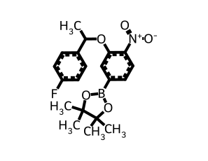 CC(Oc1cc(B2OC(C)(C)C(C)(C)O2)ccc1[N+](=O)[O-])c1ccc(F)cc1